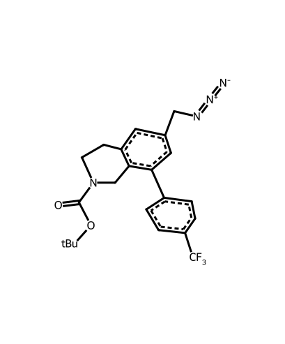 CC(C)(C)OC(=O)N1CCc2cc(CN=[N+]=[N-])cc(-c3ccc(C(F)(F)F)cc3)c2C1